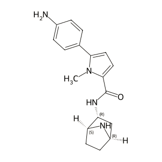 Cn1c(C(=O)N[C@@H]2C[C@H]3CC[C@@H]2N3)ccc1-c1ccc(N)cc1